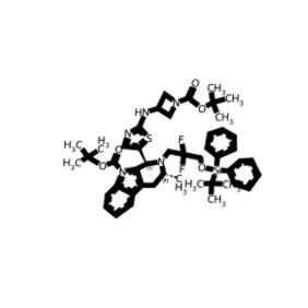 C[C@@H]1Cc2c(n(C(=O)OC(C)(C)C)c3ccccc23)[C@@H](c2cnc(NC3CN(C(=O)OC(C)(C)C)C3)s2)N1CC(F)(F)CO[Si](c1ccccc1)(c1ccccc1)C(C)(C)C